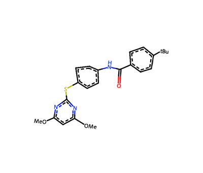 COc1cc(OC)nc(Sc2ccc(NC(=O)c3ccc(C(C)(C)C)cc3)cc2)n1